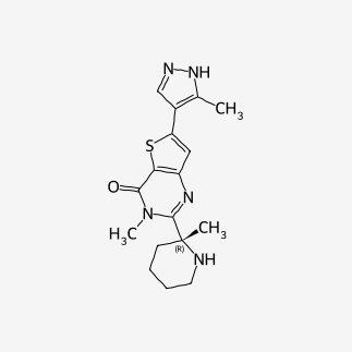 Cc1[nH]ncc1-c1cc2nc([C@@]3(C)CCCCN3)n(C)c(=O)c2s1